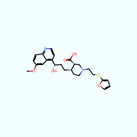 COc1ccc2nccc([C@@H](O)CC[C@@H]3CCN(CCSc4ccco4)C[C@@H]3C(=O)O)c2c1